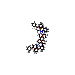 c1ccc(-c2ccc(N(c3ccc(-c4ccc(N(c5ccc(-c6ccccc6)cc5)c5c(-c6ccccc6)cccc5-c5ccccc5)cc4)cc3)c3c(-c4ccccc4)cccc3-c3ccccc3)cc2)cc1